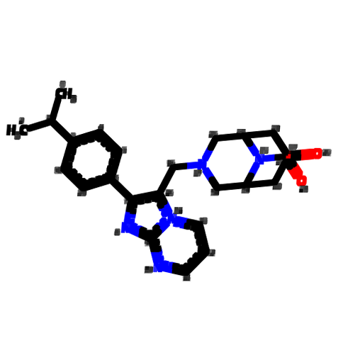 CC(C)c1ccc(-c2nc3ncccn3c2CN2CC3CC(=O)CC(C2)N3C=O)cc1